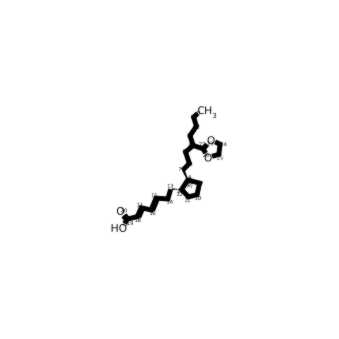 CCCCC(CCC[C@H]1CCC[C@@H]1CCC=CC=CC(=O)O)C1OCCO1